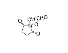 O=CO[N+]1(O)C(=O)CCC1=O